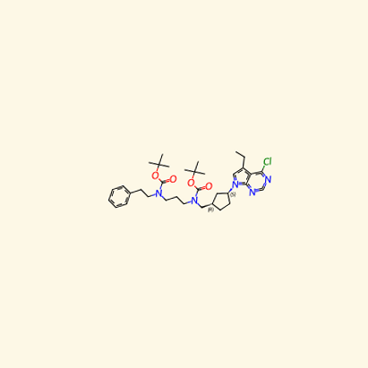 CCc1cn([C@H]2CC[C@@H](CN(CCCN(CCc3ccccc3)C(=O)OC(C)(C)C)C(=O)OC(C)(C)C)C2)c2ncnc(Cl)c12